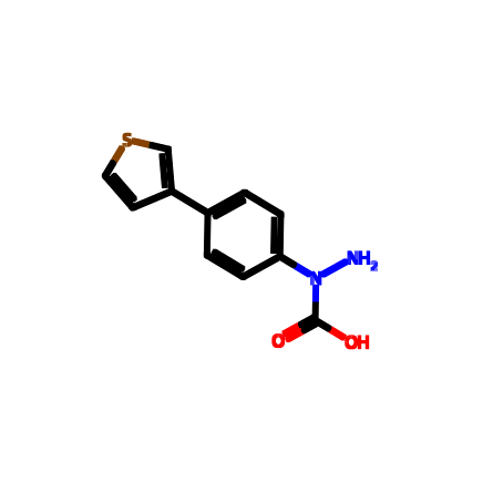 NN(C(=O)O)c1ccc(-c2ccsc2)cc1